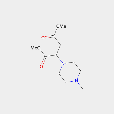 COC(=O)CC(C(=O)OC)N1CCN(C)CC1